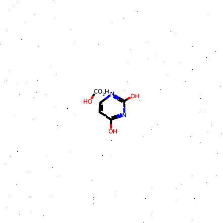 O=C(O)O.Oc1ccnc(O)n1